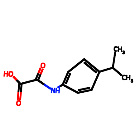 CC(C)c1ccc(NC(=O)C(=O)O)cc1